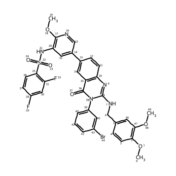 COc1ccc(CNc2nc3ccc(-c4cnc(OC)c(NS(=O)(=O)c5ccc(F)cc5F)c4)cc3c(=O)n2-c2cccc(Br)c2)cc1OC